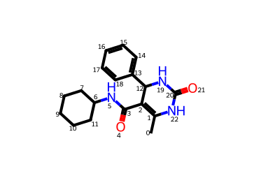 CC1=C(C(=O)NC2CCCCC2)C(c2ccccc2)NC(=O)N1